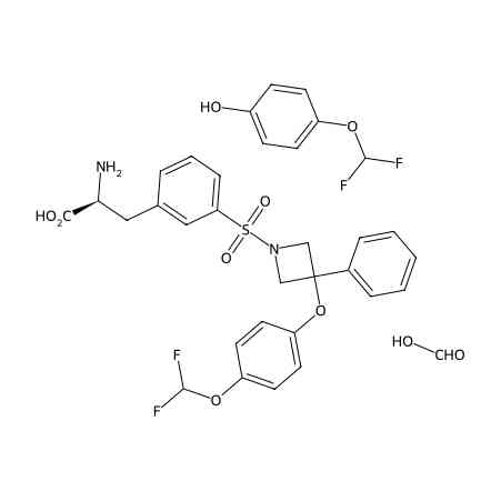 N[C@@H](Cc1cccc(S(=O)(=O)N2CC(Oc3ccc(OC(F)F)cc3)(c3ccccc3)C2)c1)C(=O)O.O=CO.Oc1ccc(OC(F)F)cc1